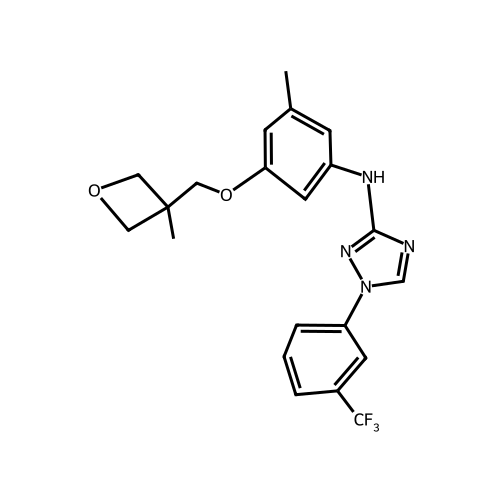 Cc1cc(Nc2ncn(-c3cccc(C(F)(F)F)c3)n2)cc(OCC2(C)COC2)c1